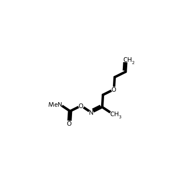 C=CCOCC(C)=NOC(=O)NC